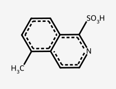 Cc1cccc2c(S(=O)(=O)O)nccc12